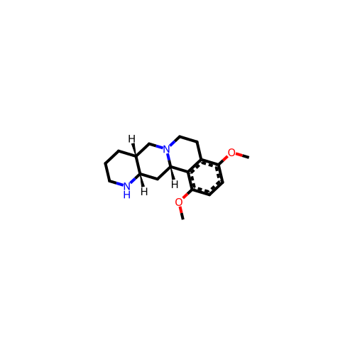 COc1ccc(OC)c2c1CCN1C[C@H]3CCCN[C@H]3C[C@@H]21